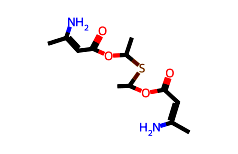 CC(N)=CC(=O)OC(C)SC(C)OC(=O)C=C(C)N